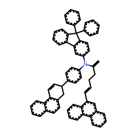 C=C(CC/C=C/c1cc2ccccc2c2ccccc12)N(c1ccc(C2C=Cc3c(ccc4ccccc34)C2)cc1)c1ccc2c(c1)-c1ccccc1C2(c1ccccc1)c1ccccc1